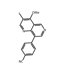 COc1c(I)cnc2c(-c3ccc(C#N)cc3)cncc12